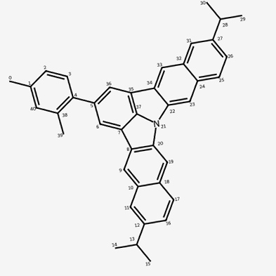 Cc1ccc(-c2cc3c4cc5cc(C(C)C)ccc5cc4n4c5cc6ccc(C(C)C)cc6cc5c(c2)c34)c(C)c1